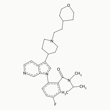 CC(C)N(C)C(=O)c1cc(F)ccc1-n1cc(C2CCN(CCC3CCOCC3)CC2)c2ccncc21